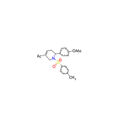 COc1ccc(C2CC=C(C(C)=O)CN2S(=O)(=O)c2ccc(C)cc2)cc1